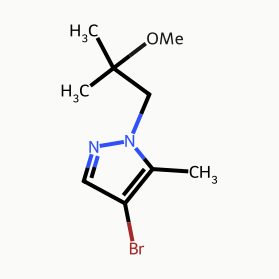 COC(C)(C)Cn1ncc(Br)c1C